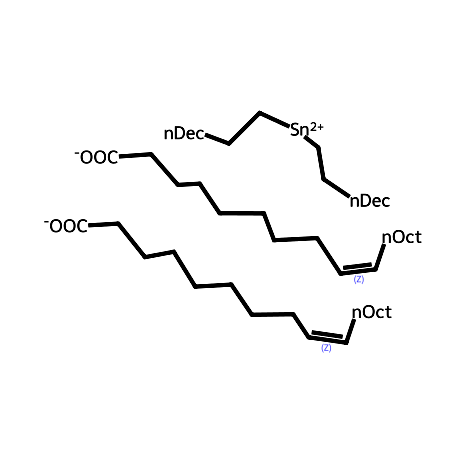 CCCCCCCC/C=C\CCCCCCCC(=O)[O-].CCCCCCCC/C=C\CCCCCCCC(=O)[O-].CCCCCCCCCCC[CH2][Sn+2][CH2]CCCCCCCCCCC